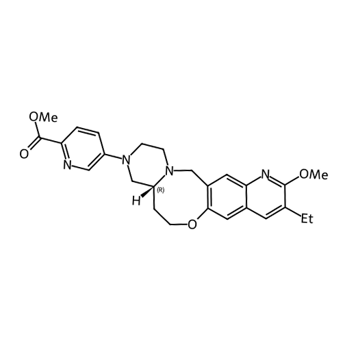 CCc1cc2cc3c(cc2nc1OC)CN1CCN(c2ccc(C(=O)OC)nc2)C[C@H]1CCO3